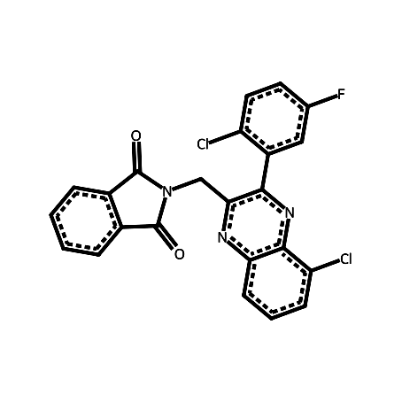 O=C1c2ccccc2C(=O)N1Cc1nc2cccc(Cl)c2nc1-c1cc(F)ccc1Cl